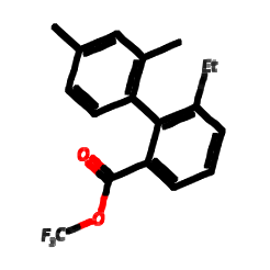 CCc1cccc(C(=O)OC(F)(F)F)c1-c1ccc(C)cc1C